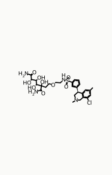 Cc1cc(Cl)c2c(c1)[C@H](c1cccc(S(=O)(=O)NCCOCCC(O)(C(N)=O)C(O)C(O)C(O)C(N)=O)c1)CN(C)C2